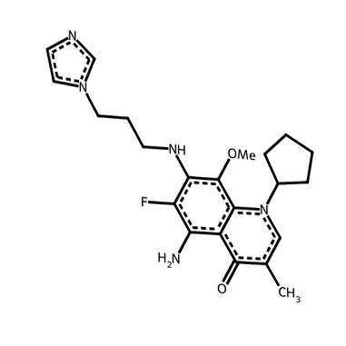 COc1c(NCCCn2ccnc2)c(F)c(N)c2c(=O)c(C)cn(C3CCCC3)c12